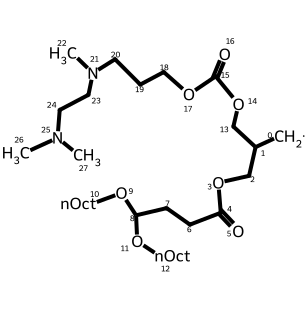 [CH2]C(COC(=O)CCC(OCCCCCCCC)OCCCCCCCC)COC(=O)OCCCN(C)CCN(C)C